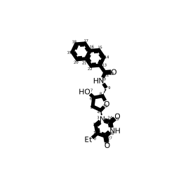 CCc1cn([C@@H]2CC(O)[C@H](CNC(=O)c3ccc4ccccc4c3)O2)c(=O)[nH]c1=O